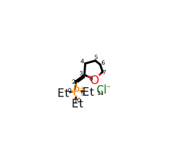 CC[P+](/C=C1/CCCCO1)(CC)CC.[Cl-]